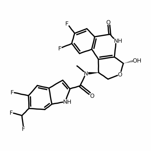 CN(C(=O)c1cc2cc(F)c(C(F)F)cc2[nH]1)[C@@H]1CO[C@@H](O)c2[nH]c(=O)c3cc(F)c(F)cc3c21